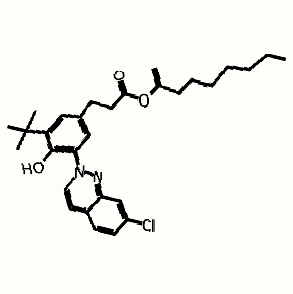 C=C(CCCCCCC)OC(=O)CCc1cc(N2C=C=c3ccc(Cl)cc3=N2)c(O)c(C(C)(C)C)c1